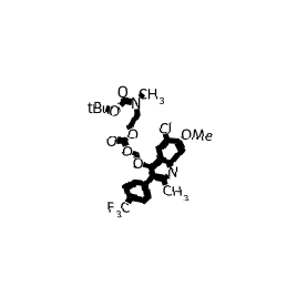 COc1cc2nc(C)c(-c3ccc(C(F)(F)F)cc3)c(OCOC(=O)OCCN(C)C(=O)OC(C)(C)C)c2cc1Cl